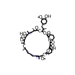 COC1C(=O)C(C)C[C@H](C)/C=C/C=C/C=C(\C)[C@@H](OC)C[C@@H]2CC[C@@H](C)[C@@](O)(O2)C(=O)C(=O)N2CCCC[C@H]2C(=O)O[C@H]([C@H](C)C[C@@H]2CC[C@@H](O)[C@H](OC)C2)CC(=O)[C@H](C)/C=C(\C)[C@H]1O